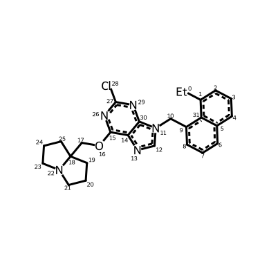 CCc1cccc2cccc(Cn3cnc4c(OCC56CCCN5CCC6)nc(Cl)nc43)c12